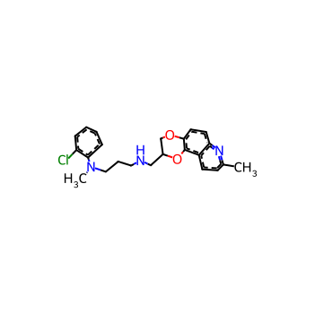 Cc1ccc2c3c(ccc2n1)OCC(CNCCCN(C)c1ccccc1Cl)O3